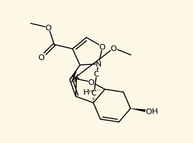 COC(=O)C1=CON2CC[C@@]34C=C[C@H](O)C[C@@H]3Oc3c(OC)ccc(c34)C12